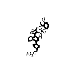 Cc1noc(-c2ccc(-c3ccc(CC(=O)O)cc3)c3c2CCCC3)c1NC(=O)OC(C)c1ccccc1Cl